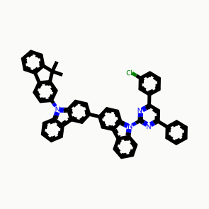 CC1(C)c2ccccc2-c2ccc(-n3c4ccccc4c4cc(-c5ccc6c(c5)c5ccccc5n6-c5nc(-c6ccccc6)cc(-c6cccc(Cl)c6)n5)ccc43)cc21